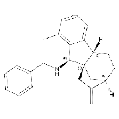 C=C1C[C@]23C[C@H]1CC[C@H]2c1cccc(C)c1[C@@H]3NCc1ccccc1